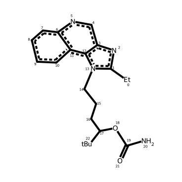 CCc1nc2cnc3ccccc3c2n1CCCC(OC(N)=O)C(C)(C)C